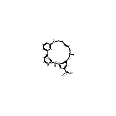 CN1C/C=C/CCOc2cccc(c2)-c2ccnc(n2)Nc2cc(cc([N+](=O)[O-])c2)C1